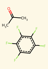 CC(C)=O.Fc1cc(F)c(F)c(F)c1F